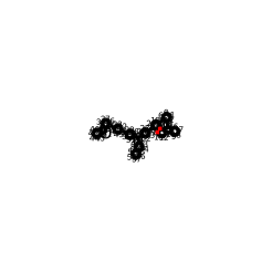 c1ccc(-n2c3ccccc3c3ccccc32)c(-c2ccc(-c3ccc(N(c4ccc(-c5ccc(-c6cccc7c6oc6ccccc67)cc5)cc4)c4ccc5ccccc5c4)cc3)cc2)c1